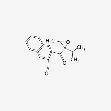 CC(C)C1(C(=O)c2cc3ccccc3cc2C=O)OC1C